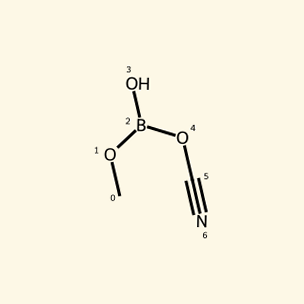 COB(O)OC#N